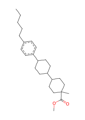 CCCCCc1ccc(C2CCC(C3CCC(C)(C(=O)OC)CC3)CC2)cc1